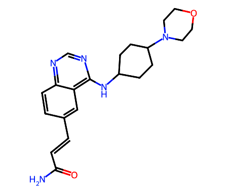 NC(=O)/C=C/c1ccc2ncnc(NC3CCC(N4CCOCC4)CC3)c2c1